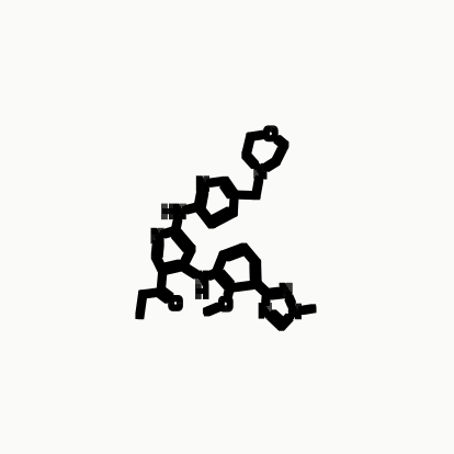 CCC(=O)c1cnc(Nc2ccc(CN3CCOCC3)cn2)cc1Nc1cccc(-c2ncn(C)n2)c1OC